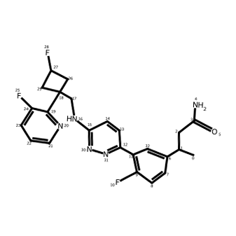 CC(CC(N)=O)c1ccc(F)c(-c2ccc(NCC3(c4ncccc4F)CC(F)C3)nn2)c1